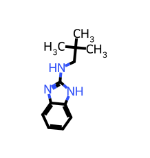 CC(C)(C)CNc1nc2ccccc2[nH]1